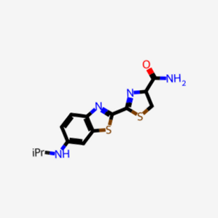 CC(C)Nc1ccc2nc(C3=NC(C(N)=O)CS3)sc2c1